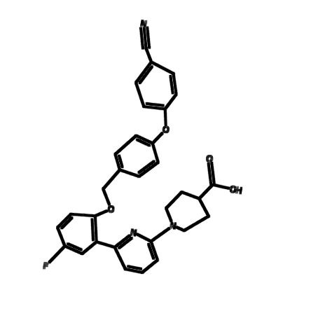 N#Cc1ccc(Oc2ccc(COc3ccc(F)cc3-c3cccc(N4CCC(C(=O)O)CC4)n3)cc2)cc1